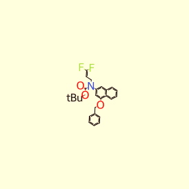 CC(C)(C)OC(=O)N(CC=C(F)F)c1cc(OCc2ccccc2)c2ccccc2c1